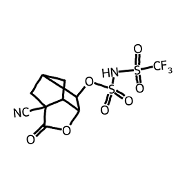 N#CC12CC3CC1C(OC2=O)C3OS(=O)(=O)NS(=O)(=O)C(F)(F)F